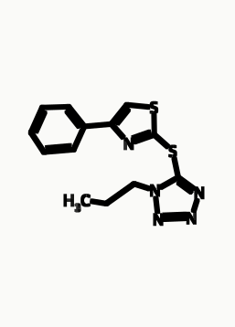 CCCn1nnnc1Sc1nc(-c2ccccc2)cs1